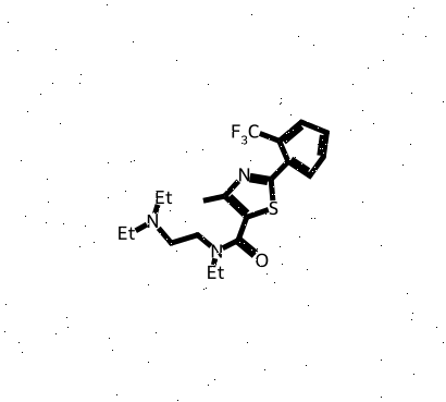 CCN(CC)CCN(CC)C(=O)c1sc(-c2ccccc2C(F)(F)F)nc1C